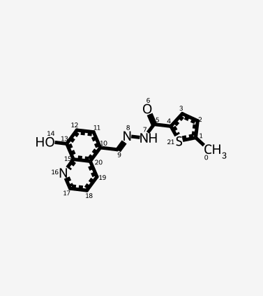 Cc1ccc(C(=O)N/N=C/c2ccc(O)c3ncccc23)s1